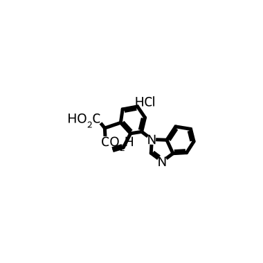 C=Cc1c(C(C(=O)O)C(=O)O)cccc1-n1cnc2ccccc21.Cl